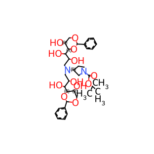 CC(C)(C)OC(=O)N1CC[C@@H](N(CC(O)C(O)[C@@H]2OC(c3ccccc3)OC[C@H]2O)CC(O)C(O)[C@@H]2OC(c3ccccc3)OC[C@H]2O)C1